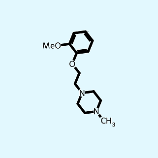 COc1c[c]ccc1OCCN1CCN(C)CC1